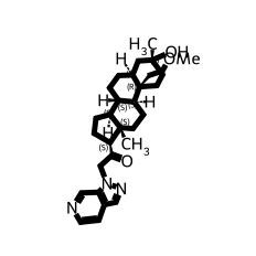 COCC[C@]12CC[C@@](C)(O)C[C@@H]1CC[C@H]1[C@@H]3CC[C@H](C(=O)Cn4ncc5ccncc54)[C@@]3(C)CC[C@@H]12